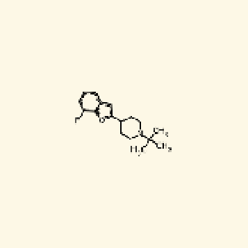 CC(C)(C)N1CCC(c2cc3cccc(F)c3o2)CC1